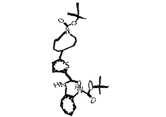 CC(C)(C)OC(=O)Nc1ccccc1NC(=O)c1ccc(C2CCN(C(=O)OC(C)(C)C)CC2)s1